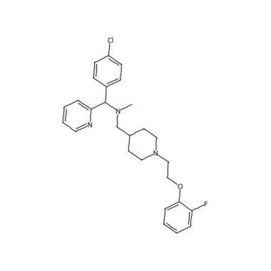 CN(CC1CCN(CCOc2ccccc2F)CC1)C(c1ccc(Cl)cc1)c1ccccn1